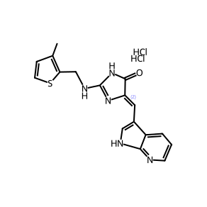 Cc1ccsc1CNC1=N/C(=C\c2c[nH]c3ncccc23)C(=O)N1.Cl.Cl